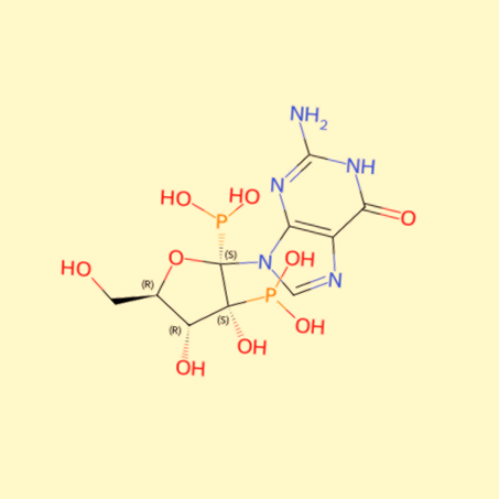 Nc1nc2c(ncn2[C@]2(P(O)O)O[C@H](CO)[C@@H](O)[C@]2(O)P(O)O)c(=O)[nH]1